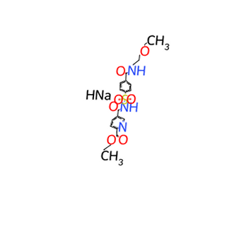 CCCOC(=O)c1ccc(C(=O)NS(=O)(=O)c2ccc(C(=O)NCCCOCC)cc2)cn1.[NaH]